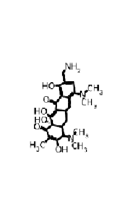 CC1=C(O)C(N(C)C)C2CC3Cc4c(N(C)C)cc(CN)c(O)c4C(=O)C3=C(O)[C@]2(O)C1=O